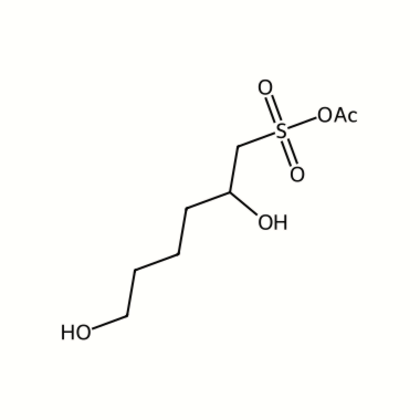 CC(=O)OS(=O)(=O)CC(O)CCCCO